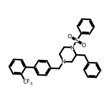 O=S(=O)(c1ccccc1)N1CCN(Cc2ccc(-c3ccccc3C(F)(F)F)cc2)CC1Cc1ccccc1